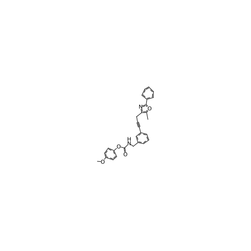 COc1ccc(OC(=O)NCc2cccc(C#CCc3nc(-c4ccccc4)oc3C)c2)cc1